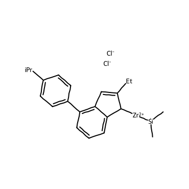 CCC1=Cc2c(-c3ccc(C(C)C)cc3)cccc2[CH]1[Zr+2][Si](C)C.[Cl-].[Cl-]